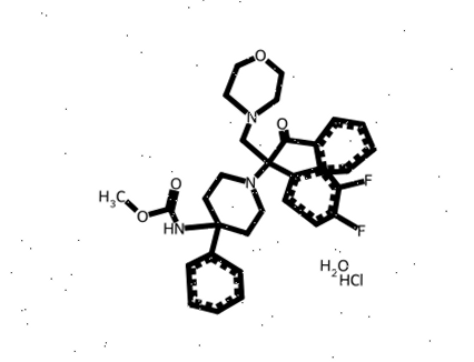 COC(=O)NC1(c2ccccc2)CCN(C(CN2CCOCC2)(C(=O)c2ccccc2)c2ccc(F)c(F)c2)CC1.Cl.O